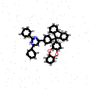 c1ccc(-c2cc(-c3ccc(C4(c5ccc6c(c5)Oc5ccccc5O6)c5ccccc5-c5ccccc54)cc3)nc(-c3ccccc3)n2)cc1